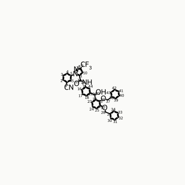 N#Cc1cccc(-n2nc(C(F)(F)F)cc2C(=O)Nc2cccc(C(O)c3cccc(OCc4ccccc4)c3OCc3ccccc3)c2)c1